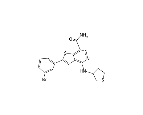 NC(=O)c1nnc(NC2CCSC2)c2cc(-c3cccc(Br)c3)sc12